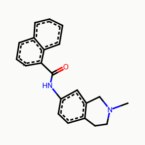 CN1CCc2ccc(NC(=O)c3[c]ccc4ccccc34)cc2C1